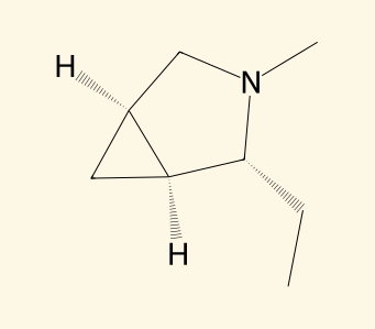 CC[C@@H]1[C@H]2C[C@H]2CN1C